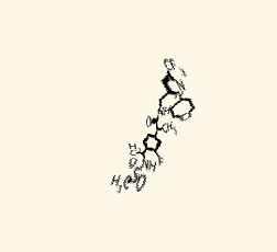 CC(NS(C)(=O)=O)c1ccc(C(C)C(=O)NCc2cc(C(F)(F)F)nn2C2CCOCC2)cc1F